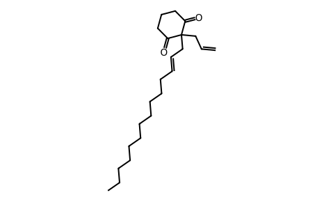 C=CCC1(CC=CCCCCCCCCCCC)C(=O)CCCC1=O